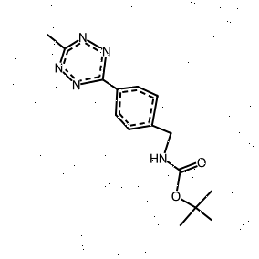 Cc1nnc(-c2ccc(CNC(=O)OC(C)(C)C)cc2)nn1